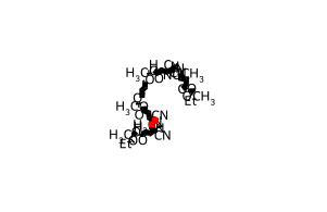 CCOC(C)OC(=O)CCC(C)(C#N)/N=N\C(C)(C#N)CCC(=O)OC(C)OCCCCOC(C)OC(=O)CCC(C)(C#N)/N=N\C(C)(C#N)CCC(=O)OC(C)OCC